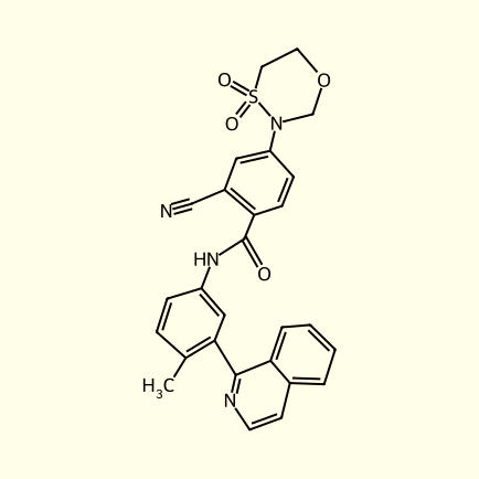 Cc1ccc(NC(=O)c2ccc(N3COCCS3(=O)=O)cc2C#N)cc1-c1nccc2ccccc12